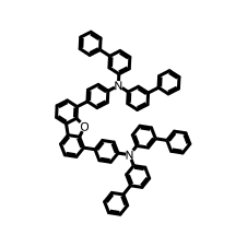 c1ccc(-c2cccc(N(c3ccc(-c4cccc5c4oc4c(-c6ccc(N(c7cccc(-c8ccccc8)c7)c7cccc(-c8ccccc8)c7)cc6)cccc45)cc3)c3cccc(-c4ccccc4)c3)c2)cc1